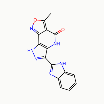 Cc1onc2c1c(=O)[nH]c1c(-c3nc4ccccc4[nH]3)n[nH]c12